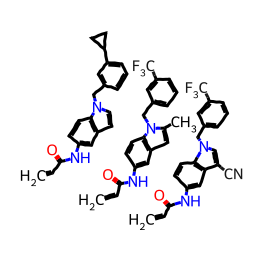 C=CC(=O)Nc1ccc2c(c1)c(C#N)cn2Cc1cccc(C(F)(F)F)c1.C=CC(=O)Nc1ccc2c(c1)cc(C)n2Cc1cccc(C(F)(F)F)c1.C=CC(=O)Nc1ccc2c(ccn2Cc2cccc(C3CC3)c2)c1